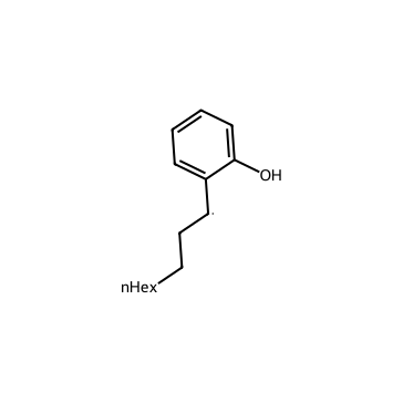 CCCCCCCC[CH]c1ccccc1O